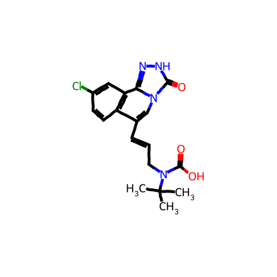 CC(C)(C)N(CC=Cc1cn2c(=O)[nH]nc2c2cc(Cl)ccc12)C(=O)O